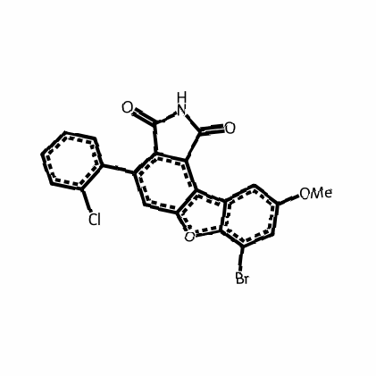 COc1cc(Br)c2oc3cc(-c4ccccc4Cl)c4c(c3c2c1)C(=O)NC4=O